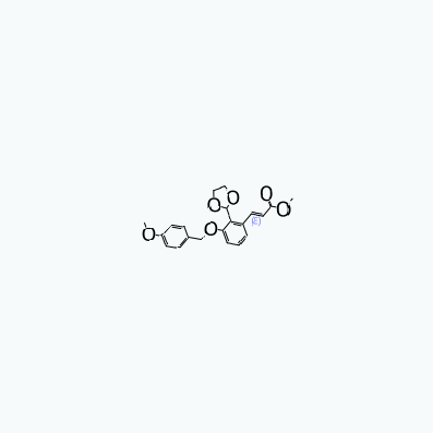 COC(=O)/C=C/c1cccc(OCc2ccc(OC)cc2)c1C1OCCO1